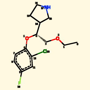 CCOC[C@H](Oc1ccc(F)cc1Cl)C1CCNC1